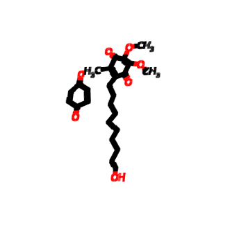 COC1=C(OC)C(=O)C(CCCCCCCCCCO)=C(C)C1=O.O=C1C=CC(=O)C=C1